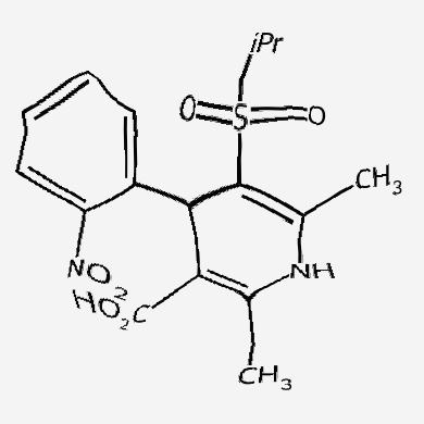 CC1=C(C(=O)O)C(c2ccccc2[N+](=O)[O-])C(S(=O)(=O)C(C)C)=C(C)N1